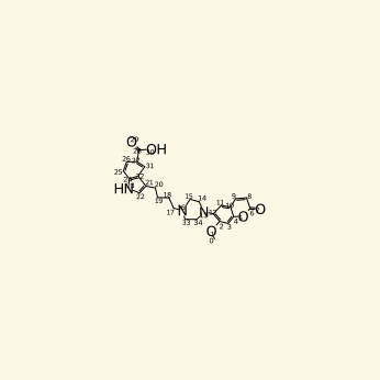 COc1cc2oc(=O)ccc2cc1N1CCN(CCCCc2c[nH]c3ccc(C(=O)O)cc23)CC1